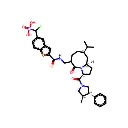 CC(C)[C@@H]1CCC(CNC(=O)c2cc3cc(C(F)P(=O)(O)O)ccc3s2)C(=O)N2[C@H](CC[C@H]2C(=O)N2C[C@H](c3ccccc3)[C@@H](C)C2)C1